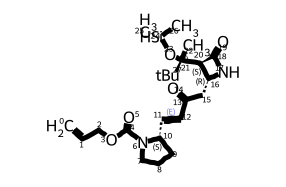 C=CCOC(=O)N1CCC[C@H]1/C=C/C(=O)C[C@H]1NC(=O)[C@@H]1[C@@](C)(O[SiH](C)C)C(C)(C)C